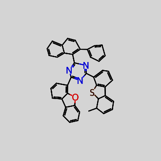 CC1C=CC=C2c3cccc(-c4nc(-c5c(-c6ccccc6)ccc6ccccc56)nc(-c5cccc6c5oc5ccccc56)n4)c3SC21